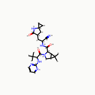 CC(C)(C)C(Nc1ncccn1)C(=O)N1CC2C(C1C(=O)NC(C#N)CC1CC3(CC3)NC1=O)C2(C)C